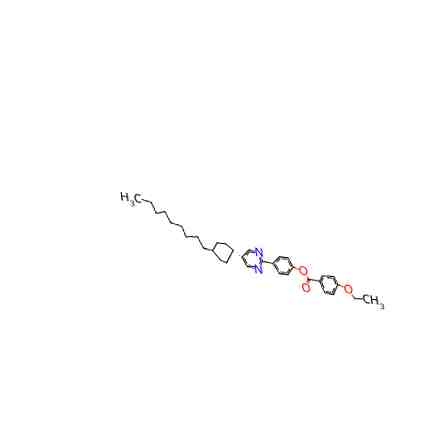 CCCCCCCCC[C@H]1CC[C@H](c2cnc(-c3ccc(OC(=O)c4ccc(OCC)cc4)cc3)nc2)CC1